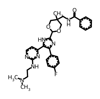 CN(C)CCNc1nccc(-c2[nH]c(C3OCC(C)(CNC(=O)c4ccccc4)CO3)nc2-c2ccc(F)cc2)n1